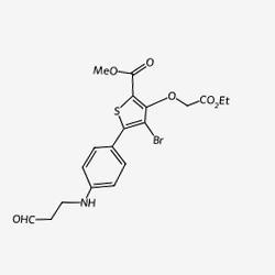 CCOC(=O)COc1c(C(=O)OC)sc(-c2ccc(NCCC=O)cc2)c1Br